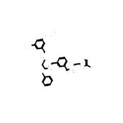 CC(=O)Nc1cc(CNC[C@@H](O)[C@H](Cc2ccccc2)NC(=O)c2cccc(C(=O)N(C)Cc3nc(C)cs3)c2)cc(C(C)C)c1